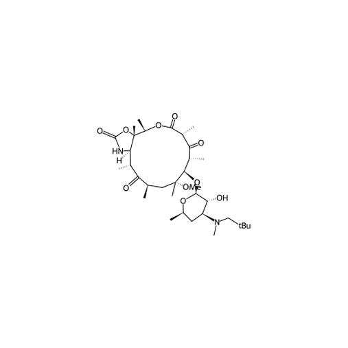 CO[C@]1(C)C[C@@H](C)C(=O)[C@H](C)[C@H]2NC(=O)O[C@]2(C)[C@@H](C)OC(=O)[C@H](C)C(=O)[C@H](C)[C@H]1O[C@@H]1O[C@H](C)C[C@H](N(C)CC(C)(C)C)[C@H]1O